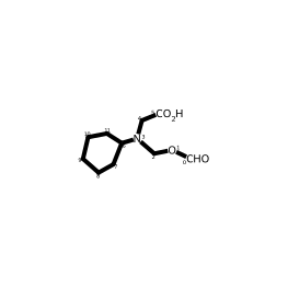 O=COCN(CC(=O)O)C1CCCCC1